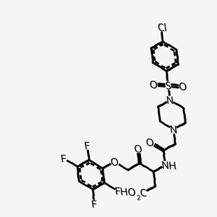 O=C(O)CC(NC(=O)CN1CCN(S(=O)(=O)c2ccc(Cl)cc2)CC1)C(=O)COc1c(F)c(F)cc(F)c1F